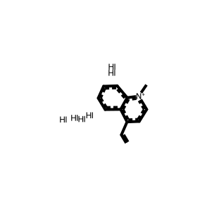 C=Cc1cc[n+](C)c2ccccc12.I.I.I.I.I.I